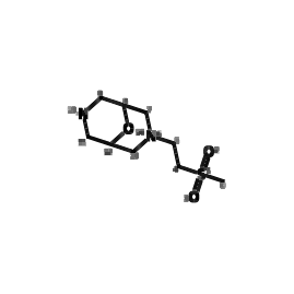 CS(=O)(=O)CCN1CC2C[N]CC(C1)O2